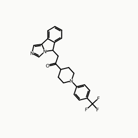 O=C(CC1c2ccccc2-c2cncn21)C1CCN(c2ccc(C(F)(F)F)cc2)CC1